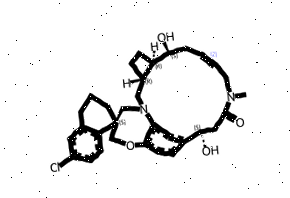 CN1C/C=C\C[C@H](O)[C@@H]2CC[C@H]2CN2C[C@@]3(CCCc4cc(Cl)ccc43)COc3ccc(cc32)[C@@H](O)CC1=O